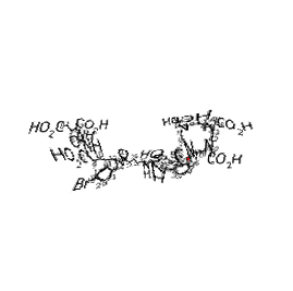 O=C(O)CCC(NC(=O)NC(CCCCN(Cc1ccc(Br)cc1)C(=O)CCCCNC(=S)Nc1ccc(CC2CN(CC(=O)O)CCN(CC(=O)O)CCN(CC(O)O)CCN2CC(=O)O)cc1)C(=O)O)C(=O)O